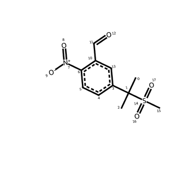 CC(C)(c1ccc([N+](=O)[O-])c(C=O)c1)S(C)(=O)=O